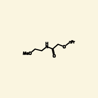 CCCOCC(=O)NCCOC